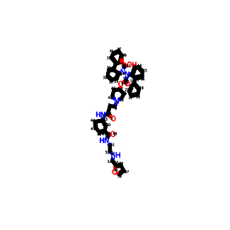 O=C(CCN1CCC(OC(=O)N(c2ccccc2-c2ccccc2)N(C(=O)O)c2ccccc2-c2ccccc2)CC1)Nc1cccc(C(=O)NCCNCc2ccco2)c1